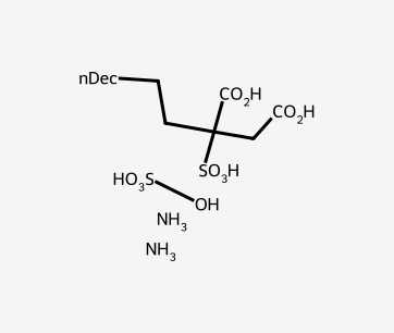 CCCCCCCCCCCCC(CC(=O)O)(C(=O)O)S(=O)(=O)O.N.N.O=S(=O)(O)O